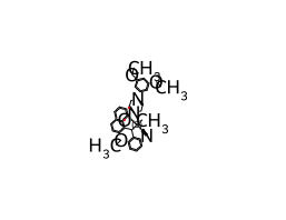 COc1cc(OC)cc(N2CCN(C(=O)[C@](C)(C#N)C(c3ccccc3OC)c3cccc4ccccc34)CC2)c1